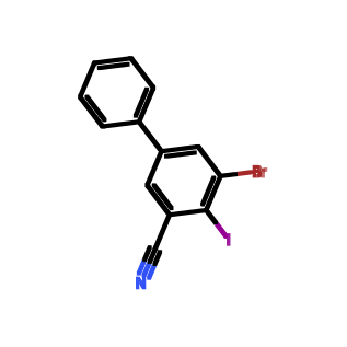 N#Cc1cc(-c2ccccc2)cc(Br)c1I